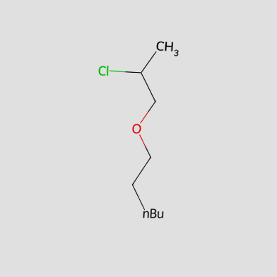 [CH2]CCCCCOCC(C)Cl